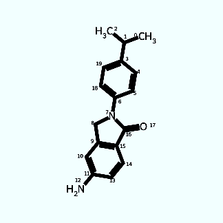 CC(C)c1ccc(N2Cc3cc(N)ccc3C2=O)cc1